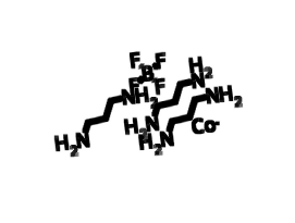 F[B-](F)(F)F.NCCCN.NCCCN.NCCCN.[Co]